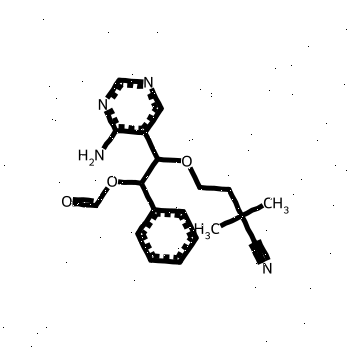 CC(C)(C#N)CCOC(c1cncnc1N)C(OC=O)c1ccccc1